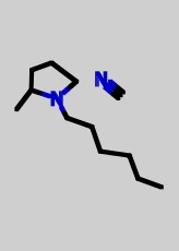 C#N.CCCCCCN1CCCC1C